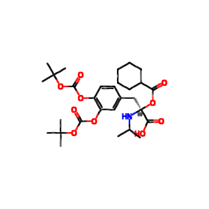 CC(C)N[C@@](Cc1ccc(OC(=O)OC(C)(C)C)c(OC(=O)OC(C)(C)C)c1)(OC(=O)C1CCCCC1)C(=O)O